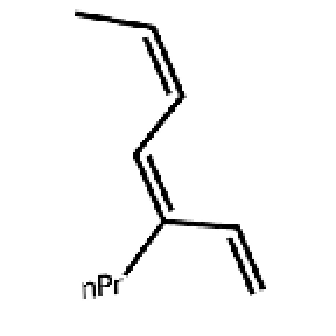 C=C/C(=C\C=C/C)CCC